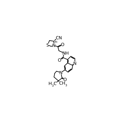 CC1(C)CCCN(c2ccc3nccc(C(=O)NCC(=O)N4CSC[C@H]4C#N)c3c2)C1=O